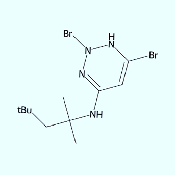 CC(C)(C)CC(C)(C)NC1=NN(Br)NC(Br)=C1